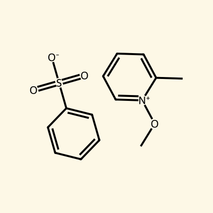 CO[n+]1ccccc1C.O=S(=O)([O-])c1ccccc1